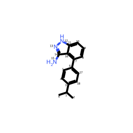 CC(C)c1ccc(-c2cccc3[nH]nc(N)c23)cc1